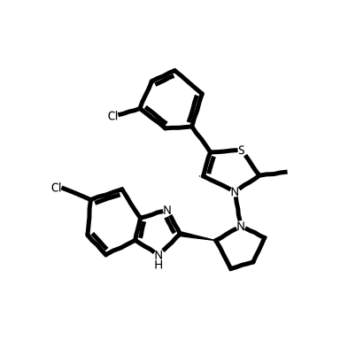 CC1SC(c2cccc(Cl)c2)=[C]N1N1CCC[C@H]1c1nc2cc(Cl)ccc2[nH]1